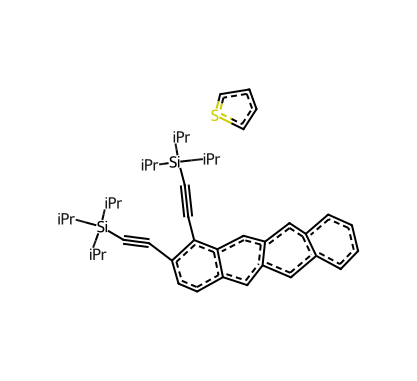 CC(C)[Si](C#Cc1ccc2cc3cc4ccccc4cc3cc2c1C#C[Si](C(C)C)(C(C)C)C(C)C)(C(C)C)C(C)C.c1ccsc1